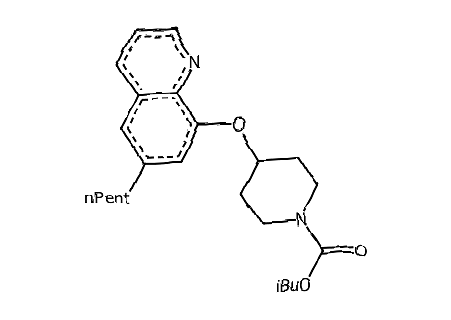 CCCCCc1cc(OC2CCN(C(=O)OCC(C)C)CC2)c2ncccc2c1